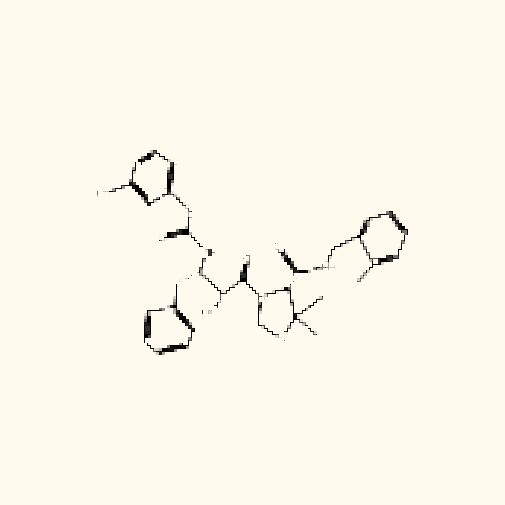 CCc1cccc(NC(=O)N[C@@H](Cc2ccccc2)[C@H](O)C(=O)N2CSC(C)(C)[C@H]2C(=O)NCc2ccccc2C)c1